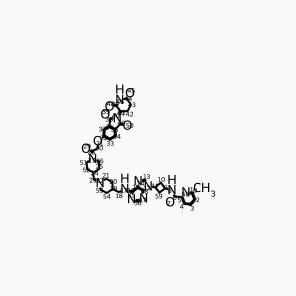 Cc1cccc(C(=O)NC2CC(n3cnc4c(NCC5CCN(CC6CCN(C(=O)COc7ccc8c(c7)C(=O)N([C@@H]7CCC(=O)NC7=O)C8=O)CC6)CC5)ncnc43)C2)n1